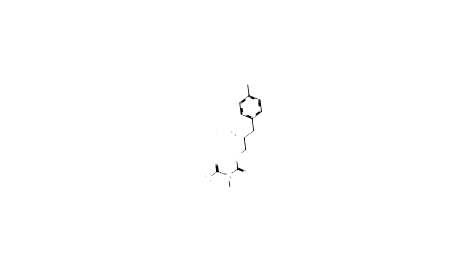 Cc1ccc(C[C@@H](N)COC(=O)N(C)C(N)=O)cc1